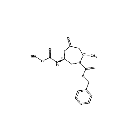 C[C@H]1CC(=O)C[C@H](NC(=O)OC(C)(C)C)CN1C(=O)OCc1ccccc1